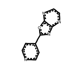 c1cc(-c2nc3nccnc3o2)ccn1